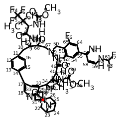 COC(=O)N[C@H](C(=O)N[C@H]1Cc2ccc(cc2)-c2cnc(N3CC4CC(C3)N4C3COC3)c(c2)C(F)(F)C(C)(C)[C@H](NC(=O)OC)C(=O)NN(Cc2c(F)cc(C(=N)/C=C\NC(F)F)cc2F)C[C@@H]1O)C(C)(C)C(F)(F)F